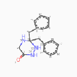 O=C1CNC(Cc2ccccc2)(Cc2ccccc2)NN1